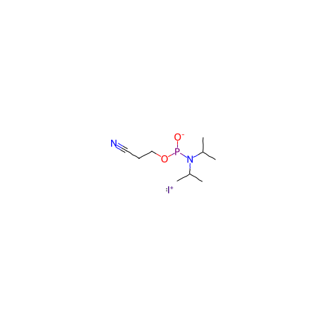 CC(C)N(C(C)C)P([O-])OCCC#N.[I+]